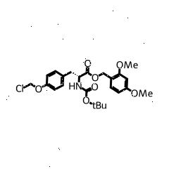 COc1ccc(COC(=O)[C@@H](Cc2ccc(OCCl)cc2)NC(=O)OC(C)(C)C)c(OC)c1